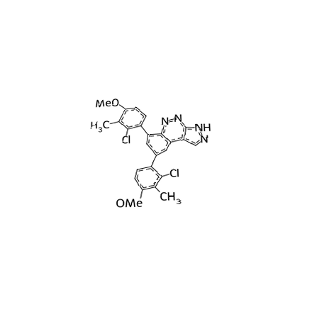 COc1ccc(-c2cc(-c3ccc(OC)c(C)c3Cl)c3nnc4[nH]ncc4c3c2)c(Cl)c1C